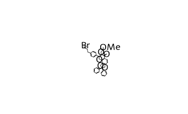 COCOc1c(-c2ccc(CCCBr)cc2)oc2c3c(ccc2c1=O)OC(c1ccccc1)(c1ccccc1)O3